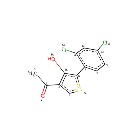 CC(=O)c1csc(-c2ccc(Cl)cc2Cl)c1O